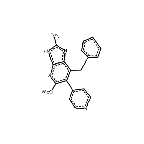 COc1nc2[nH]c(N)nc2c(Cc2ccccc2)c1-c1ccncc1